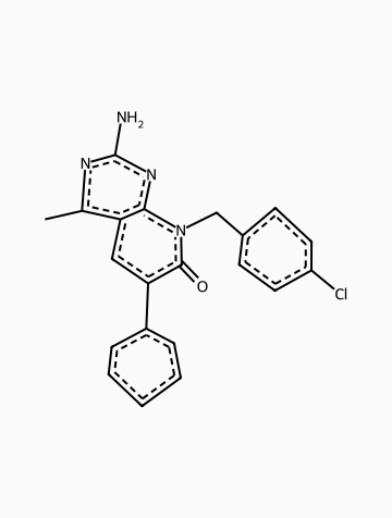 Cc1nc(N)nc2c1cc(-c1ccccc1)c(=O)n2Cc1ccc(Cl)cc1